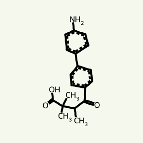 CC(C(=O)c1ccc(-c2ccc(N)cc2)cc1)C(C)(C)C(=O)O